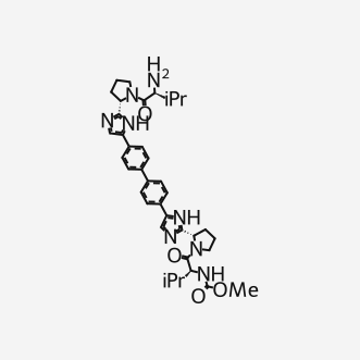 COC(=O)N[C@H](C(=O)N1CCC[C@H]1c1ncc(-c2ccc(-c3ccc(-c4cnc([C@@H]5CCCN5C(=O)[C@@H](N)C(C)C)[nH]4)cc3)cc2)[nH]1)C(C)C